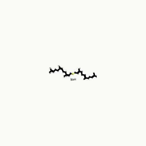 CC(C)=CCCC(C)=CCCC(C)=CCSCC=C(C)CCC=C(C)CCC=C(C)C.[NaH]